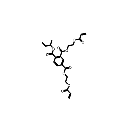 C=CC(=O)OCCOC(=O)c1ccc(C(=O)OC(C)CC)c(C(=O)OCCOC(=O)C=C)c1